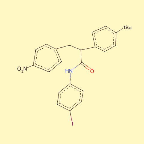 CC(C)(C)c1ccc(C(Cc2ccc([N+](=O)[O-])cc2)C(=O)Nc2ccc(I)cc2)cc1